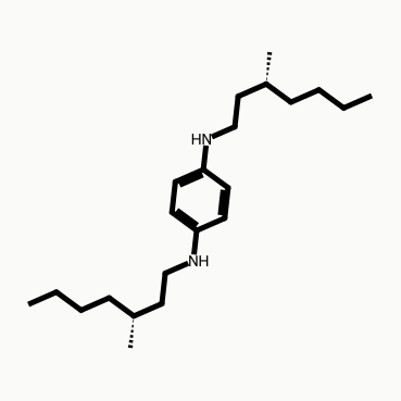 CCCC[C@@H](C)CCNc1ccc(NCC[C@H](C)CCCC)cc1